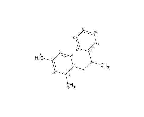 Cc1ccc(CC(C)c2ccccc2)c(C)c1